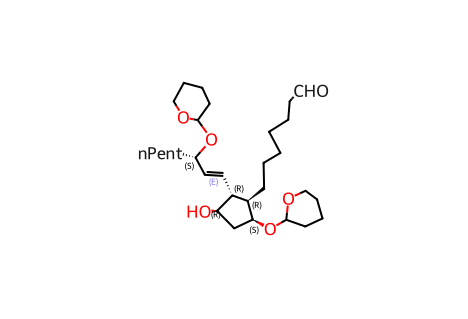 CCCCC[C@@H](/C=C/[C@@H]1[C@@H](CCCCCCC=O)[C@@H](OC2CCCCO2)C[C@H]1O)OC1CCCCO1